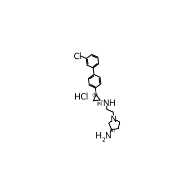 Cl.N[C@@H]1CCN(CCN[C@@H]2C[C@H]2c2ccc(-c3cccc(Cl)c3)cc2)C1